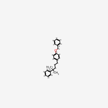 [CH2][C@](C)(CCCc1ccc(OCc2ccccc2)cc1)c1ccccc1